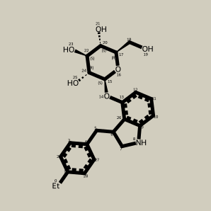 CCc1ccc(CC2CNc3cccc(O[C@@H]4O[C@H](CO)[C@@H](O)[C@H](O)[C@H]4O)c32)cc1